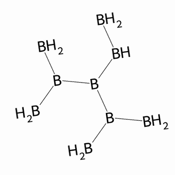 BBB(B(B)B)B(B)B